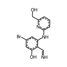 N=Cc1c(O)cc(Br)cc1Nc1cccc(CO)n1